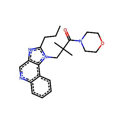 CCCc1nc2cnc3ccccc3c2n1CC(C)(C)C(=O)N1CCOCC1